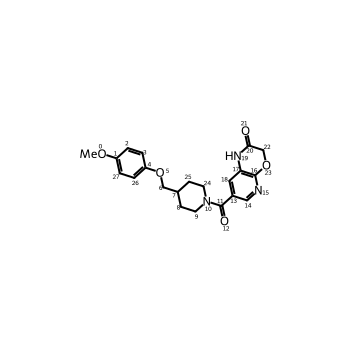 COc1ccc(OCC2CCN(C(=O)c3cnc4c(c3)NC(=O)CO4)CC2)cc1